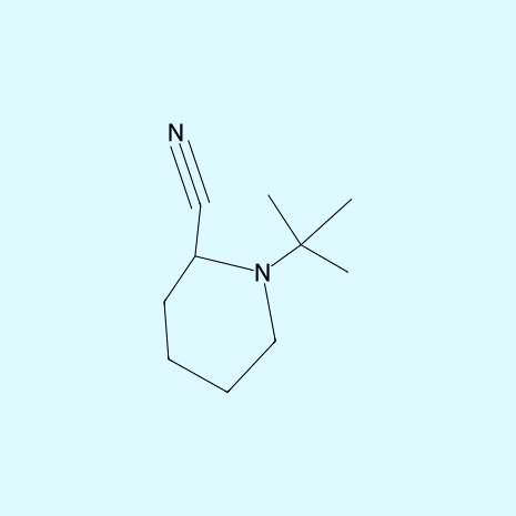 CC(C)(C)N1CCCCC1C#N